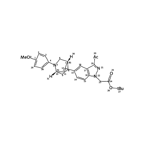 COc1ccc(N2C[C@@H]3CC[C@H]2C=C3c2ccc3c(c2)c(C(C)=O)nn3CC(=O)OC(C)(C)C)cc1